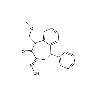 COCN1C(=O)/C(=N/O)CN(c2ccccc2)c2ccccc21